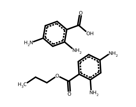 CCCOC(=O)c1ccc(N)cc1N.Nc1ccc(C(=O)O)c(N)c1